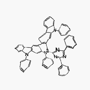 c1ccc(-c2nc(B3c4cc5c(cc4-c4cc6c7ccccc7n(-c7ccccc7)c6cc4N3c3ccccc3)c3ccccc3n5-c3ccccc3)nc(-c3ccccc3)n2)cc1